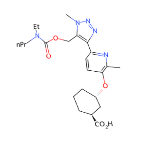 CCCN(CC)C(=O)OCc1c(-c2ccc(O[C@H]3CCC[C@H](C(=O)O)C3)c(C)n2)nnn1C